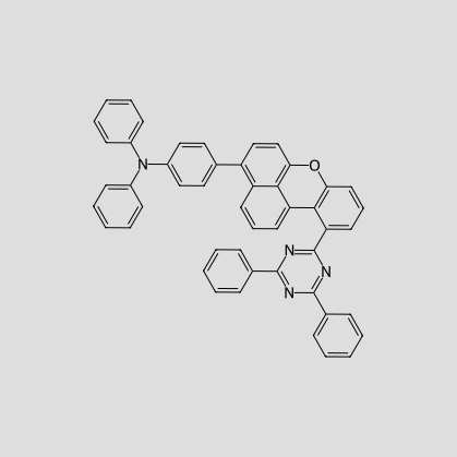 c1ccc(-c2nc(-c3ccccc3)nc(-c3cccc4c3-c3cccc5c(-c6ccc(N(c7ccccc7)c7ccccc7)cc6)ccc(c35)O4)n2)cc1